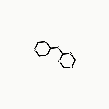 C1OCOC(OC2OCOCO2)O1